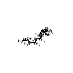 CCC[C@@H](CCO)Nc1nc(N)nc(C)c1Cc1ccc(CN(C)CCNC(=O)CCC(C)=CCCC(C)=CCCC(C)=CCCC=C(C)CCC=C(C)CCC=C(C)C)cc1